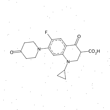 O=C1CCN(c2cc3c(cc2F)C(=O)C(C(=O)O)CN3C2CC2)CC1